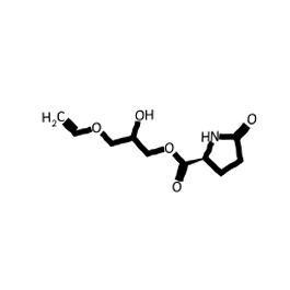 C=COCC(O)COC(=O)[C@@H]1CCC(=O)N1